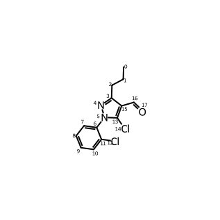 CCCc1nn(-c2ccccc2Cl)c(Cl)c1C=O